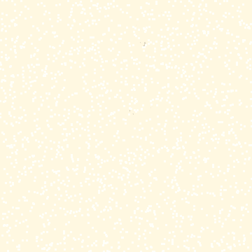 CC(=O)NCC1CN(c2ccc(C3=CS(O)(O)CC3)c(F)c2)C(=O)O1